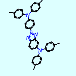 Cc1ccc(N(c2ccc(C)cc2)c2ccc(-n3nc4ccc(N(c5ccc(C)cc5)c5ccc(C)cc5)cc4n3)cc2)cc1